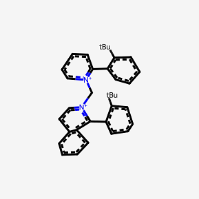 CC(C)(C)c1ccccc1-c1cccc[n+]1C[n+]1ccc2ccccc2c1-c1ccccc1C(C)(C)C